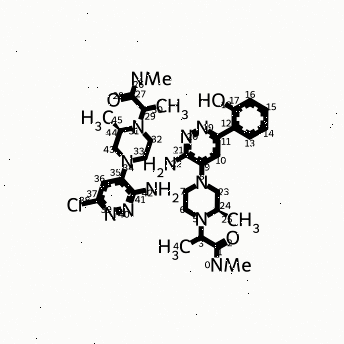 CNC(=O)C(C)N1CCN(c2cc(-c3ccccc3O)nnc2N)C[C@H]1C.CNC(=O)C(C)N1CCN(c2cc(Cl)nnc2N)C[C@H]1C